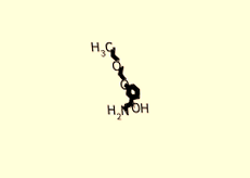 CCCCOCCCOc1cccc([C@H](O)CN)c1